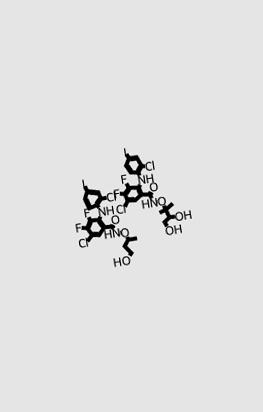 CC(C)(ONC(=O)c1cc(Cl)c(F)c(F)c1Nc1ccc(I)cc1Cl)C(O)CO.CC(CCO)ONC(=O)c1cc(Cl)c(F)c(F)c1Nc1ccc(I)cc1Cl